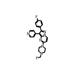 FCN1CCN(c2ccn3nc(-c4ccc(F)cc4)c(-c4ccncc4)c3n2)CC1